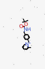 Cc1cccc[n+]1Cc1ccc(CNC(=O)OC(C)(C)C)cc1